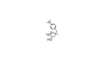 CCC(C)(Cc1ccc(N(C)C)cc1)CC(O)O